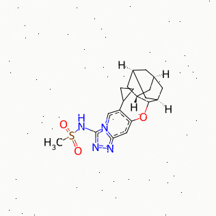 CS(=O)(=O)Nc1nnc2cc(OC3[C@H]4C[C@H]5C[C@H](C4)C[C@H]3C5)c(C3CC3)cn12